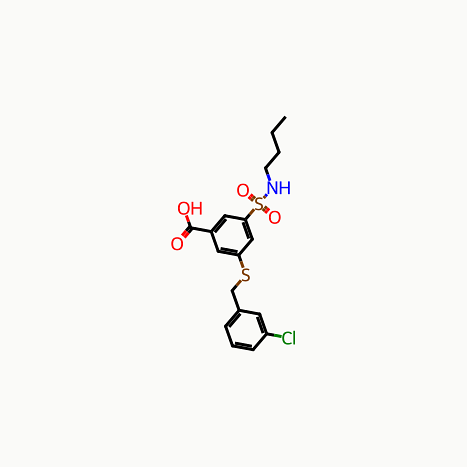 CCCCNS(=O)(=O)c1cc(SCc2cccc(Cl)c2)cc(C(=O)O)c1